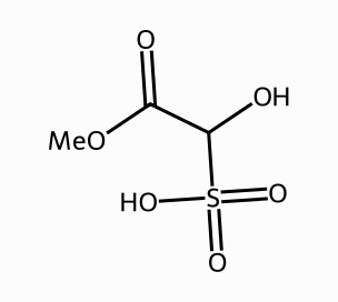 COC(=O)C(O)S(=O)(=O)O